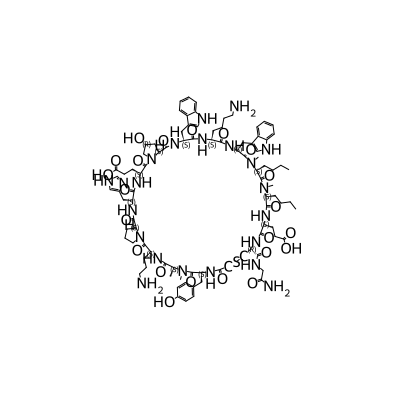 CCCC[C@H]1C(=O)N(C)[C@@H](CCCC)C(=O)N[C@@H](CCC(=O)O)C(=O)N[C@H](C(=O)NCC(N)=O)CSCC(=O)N[C@@H](Cc2ccc(O)cc2)C(=O)N(C)[C@@H](C)C(=O)N[C@@H](CCCN)C(=O)N2CCC[C@H]2C(=O)N[C@@H](Cc2c[nH]cn2)C(=O)N[C@@H](CCC(=O)O)C(=O)N2C[C@H](O)C[C@H]2C(=O)N[C@@H](Cc2c[nH]c3ccccc23)C(=O)N[C@@H](CCCCN)C(=O)N[C@@H](Cc2c[nH]c3ccccc23)C(=O)N1C